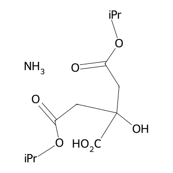 CC(C)OC(=O)CC(O)(CC(=O)OC(C)C)C(=O)O.N